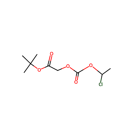 CC(Cl)OC(=O)OCC(=O)OC(C)(C)C